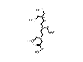 CBC(=O)CN(CCN(CCN(CC(=O)O)CC(=O)O)CC(=O)O)CC(=O)O